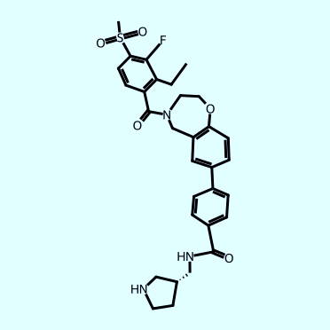 CCc1c(C(=O)N2CCOc3ccc(-c4ccc(C(=O)NC[C@@H]5CCNC5)cc4)cc3C2)ccc(S(C)(=O)=O)c1F